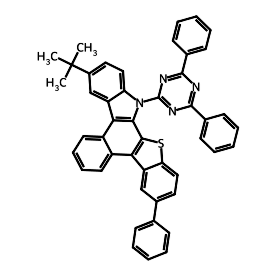 CC(C)(C)c1ccc2c(c1)c1c3ccccc3c3c4cc(-c5ccccc5)ccc4sc3c1n2-c1nc(-c2ccccc2)nc(-c2ccccc2)n1